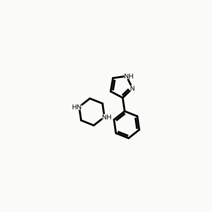 C1CNCCN1.c1ccc(-c2cc[nH]n2)cc1